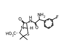 CC1(C)S[C@@H]2[C@H](NC(=O)C(N)c3cccc(F)c3)C(=O)N2[C@H]1C(=O)O